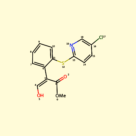 COC(=O)C(=CO)c1ccccc1Sc1ccc(Cl)cn1